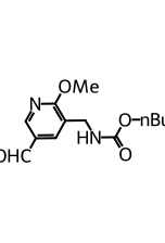 CCCCOC(=O)NCc1cc(C=O)cnc1OC